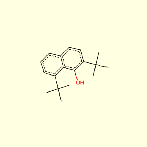 CC(C)(C)c1ccc2cccc(C(C)(C)C)c2c1O